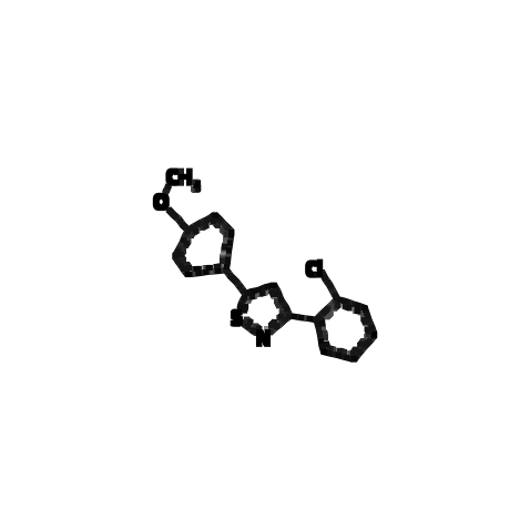 COc1ccc(-c2cc(-c3ccccc3Cl)ns2)cc1